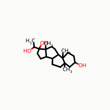 CC(O)C1(O)CCC2C3CCC4(C)CC(O)CCC4(C)C3CCC21C